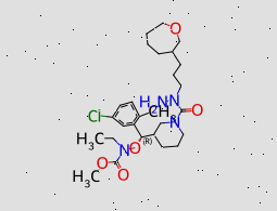 CCN(O[C@@H](c1cc(Cl)ccc1C)C1CCCN(C(=O)N(N)CCCC2CCCCOC2)C1)C(=O)OC